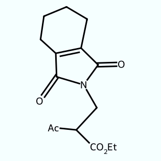 CCOC(=O)C(CN1C(=O)C2=C(CCCC2)C1=O)C(C)=O